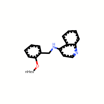 CCCCCCOc1ccccc1CNc1ccnc2ccccc12